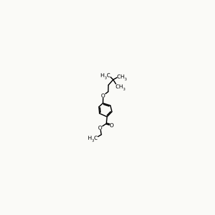 CCOC(=O)c1ccc(OCCC(C)(C)C)cc1